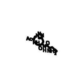 C#CCC(N)C(=O)NC1Cc2cn(nn2)CC(C(C)=O)NCC1=O